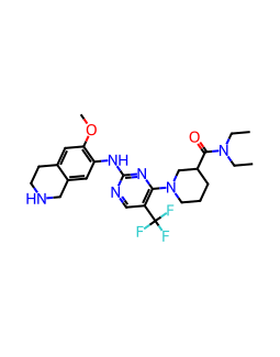 CCN(CC)C(=O)C1CCCN(c2nc(Nc3cc4c(cc3OC)CCNC4)ncc2C(F)(F)F)C1